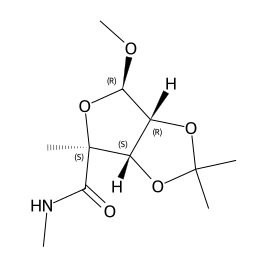 CNC(=O)[C@@]1(C)O[C@@H](OC)[C@@H]2OC(C)(C)O[C@@H]21